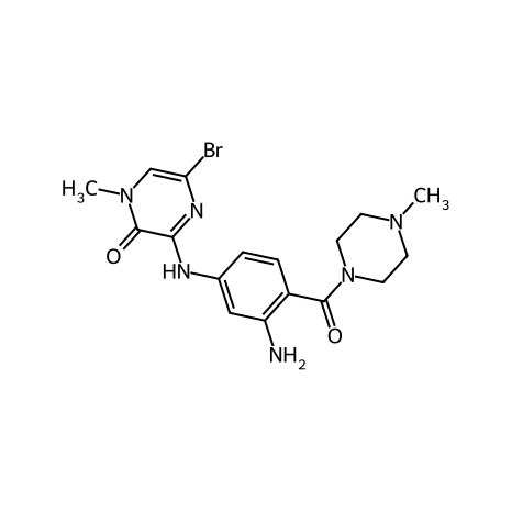 CN1CCN(C(=O)c2ccc(Nc3nc(Br)cn(C)c3=O)cc2N)CC1